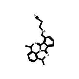 CC(C)c1cccc(C(C)C)c1N1C(=O)c2cccc(CNCCC#N)c2C1=O